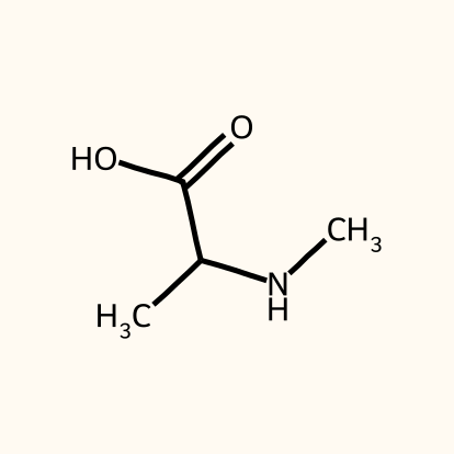 CNC(C)C(=O)O